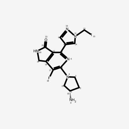 N[C@H]1CCN(c2nc(-c3cnn(CI)c3)c3c(c2F)CNC3=O)C1